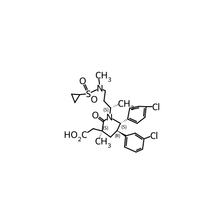 C[C@@H](CCN(C)S(=O)(=O)C1CC1)N1C(=O)[C@](C)(CC(=O)O)C[C@H](c2cccc(Cl)c2)[C@H]1c1ccc(Cl)cc1